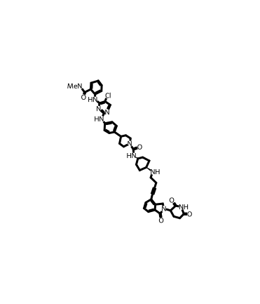 CNC(=O)c1ccccc1Nc1nc(Nc2ccc(C3CCN(C(=O)N[C@H]4CC[C@H](NCCC#Cc5cccc6c5CN(C5CCC(=O)NC5=O)C6=O)CC4)CC3)cc2)ncc1Cl